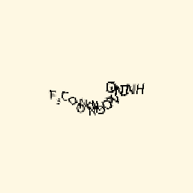 CN(C(=O)c1ccc(C(F)(F)F)cc1)c1cnc(Oc2ccc3c(c2)cc(C(=O)N2CCNCC2)n3C)nc1